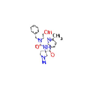 Cc1ccc(C(=O)[C@@]2(NC(=O)N(CCO)Cc3ccccc3)CCNC2)cn1